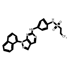 O=S(=O)(CCC(F)(F)F)Nc1ccc(Nc2ncc3cnn(-c4cccc5ccccc45)c3n2)cc1